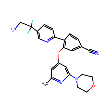 Cc1cc(Oc2cc(C#N)ccc2-c2ccc(C(F)(F)CN)cn2)cc(N2CCOCC2)n1